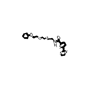 O=C(NCCOCCOCCOc1ccccc1)c1ccc(C2=NCCS2)s1